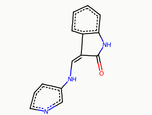 O=C1Nc2ccccc2/C1=C/Nc1cccnc1